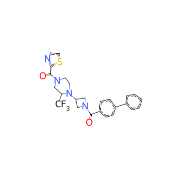 O=C(c1ccc(-c2ccccc2)cc1)N1CC(N2CCN(C(=O)c3nccs3)CC2C(F)(F)F)C1